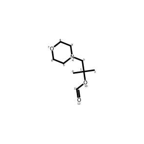 CC(C)(CN1CCOCC1)O[C]=O